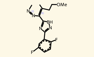 C/N=N\C(C1=NC(c2cc(F)ccc2F)=NB1)=C(/C)CCOC